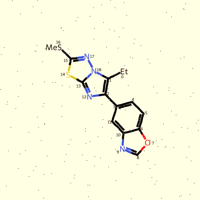 CCc1c(-c2ccc3ocnc3c2)nc2sc(SC)nn12